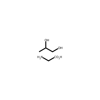 CC(O)CO.NCC(=O)O